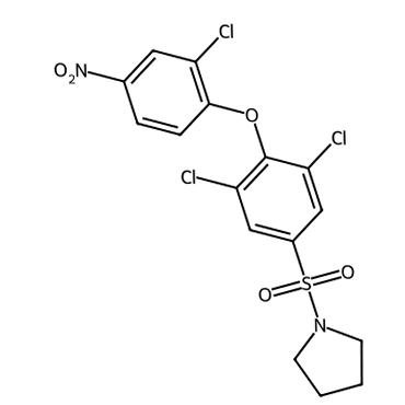 O=[N+]([O-])c1ccc(Oc2c(Cl)cc(S(=O)(=O)N3CCCC3)cc2Cl)c(Cl)c1